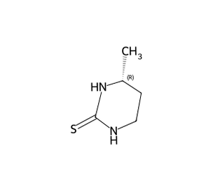 C[C@@H]1CCNC(=S)N1